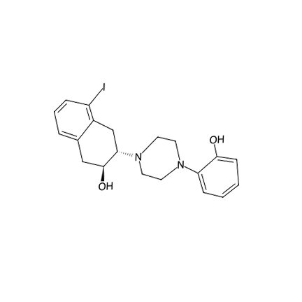 Oc1ccccc1N1CCN([C@H]2Cc3c(I)cccc3C[C@@H]2O)CC1